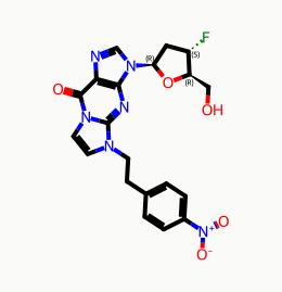 O=c1c2ncn([C@H]3C[C@H](F)[C@@H](CO)O3)c2nc2n(CCc3ccc([N+](=O)[O-])cc3)ccn12